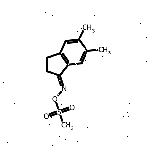 Cc1cc2c(cc1C)/C(=N/OS(C)(=O)=O)CC2